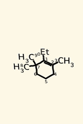 [CH2]CC1=C(C)CCCC1(C)C